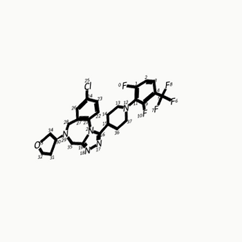 Fc1ccc(C(F)(F)F)c(F)c1N1CCC(c2nnc3n2-c2ccc(Cl)cc2CN([C@H]2CCOC2)C3)CC1